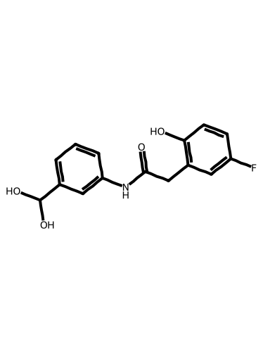 O=C(Cc1cc(F)ccc1O)Nc1cccc(C(O)O)c1